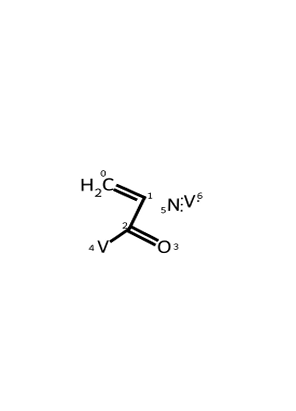 C=C[C](=O)[V].[N].[V]